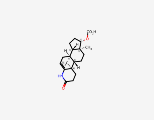 C[C@]12CC[C@H]3[C@@H](CC=C4NC(=O)CC[C@@]43C)[C@@H]1CC[C@@H]2OC(=O)O